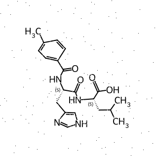 Cc1ccc(C(=O)N[C@@H](Cc2c[nH]cn2)C(=O)N[C@@H](CC(C)C)C(=O)O)cc1